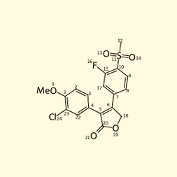 COc1ccc(C2=C(c3ccc(S(C)(=O)=O)c(F)c3)COC2=O)cc1Cl